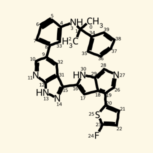 CC(C)(Nc1c#ccc(-c2cnc3[nH]nc(-c4cc5c(-c6ccc(F)s6)cncc5[nH]4)c3c2)c1)c1ccccc1